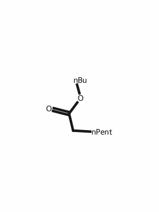 [CH2]CCCCCC(=O)OCCCC